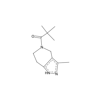 Cc1n[nH]c2c1CN(C(=O)C(C)(C)C)CC2